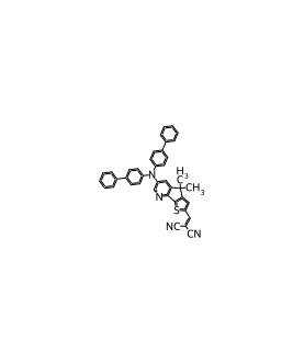 CC1(C)c2cc(N(c3ccc(-c4ccccc4)cc3)c3ccc(-c4ccccc4)cc3)cnc2-c2sc(C=C(C#N)C#N)cc21